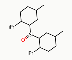 CC1CCC(C(C)C)C([Si](=O)C2CC(C)CCC2C(C)C)C1